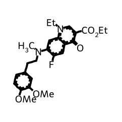 CCOC(=O)c1cn(CC)c2cc(N(C)CCc3ccc(OC)c(OC)c3)c(F)cc2c1=O